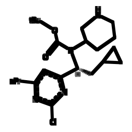 CCCc1cc([C@@H](CC2CC2)N(C(=O)OC(C)(C)C)C2CCCNC2)nc(Cl)n1